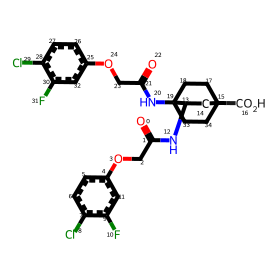 O=C(COc1ccc(Cl)c(F)c1)NC1CC2(C(=O)O)CCC1(NC(=O)COc1ccc(Cl)c(F)c1)CC2